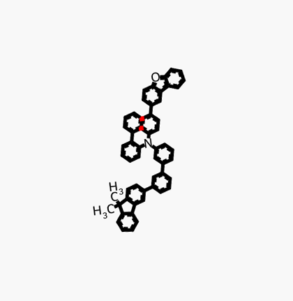 CC1(C)c2ccccc2-c2cc(-c3cccc(-c4cccc(N(c5ccc(-c6ccc7oc8ccccc8c7c6)cc5)c5ccccc5-c5ccccc5)c4)c3)ccc21